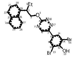 CCC(COc1ncc(-c2cc(Br)c(O)c(Br)c2)nn1)c1cccc2ccccc12